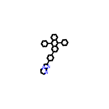 c1ccc(-c2c3ccccc3c(-c3ccccc3)c3cc(-c4ccc(-c5cn6cccnc6n5)cc4)ccc23)cc1